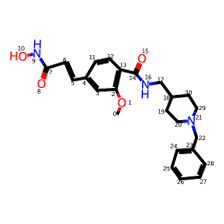 COc1cc(C=CC(=O)NO)ccc1C(=O)NCC1CCN(Cc2ccccc2)CC1